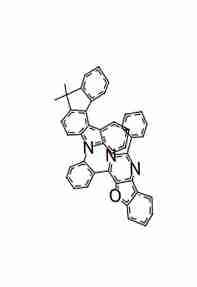 CC1(C)c2ccccc2-c2c1ccc1c2c2ccccc2n1-c1ccccc1-c1nc(-c2ccccc2)nc2c1oc1ccccc12